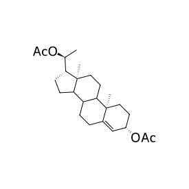 CC(=O)O[C@@H]1C=C2CCC3C(CC[C@@]4(C)C3CC[C@@H]4[C@H](C)OC(C)=O)[C@@]2(C)CC1